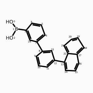 OB(O)c1cccc(-c2cccc(-c3cccc4ccccc34)c2)c1